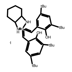 CC(C)(C)c1cc([CH]=[Co]2(=[CH]c3cc(C(C)(C)C)cc(C(C)(C)C)c3O)[NH]C3CCCCC3[NH]2)c(O)c(C(C)(C)C)c1.[I]